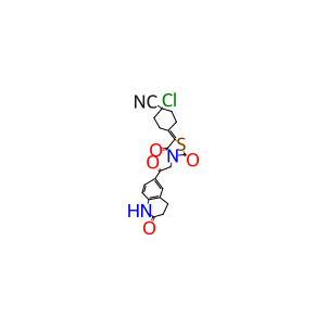 N#CC1(Cl)CCC(=C2SC(=O)N(CC(=O)c3ccc4c(c3)CCC(=O)N4)C2=O)CC1